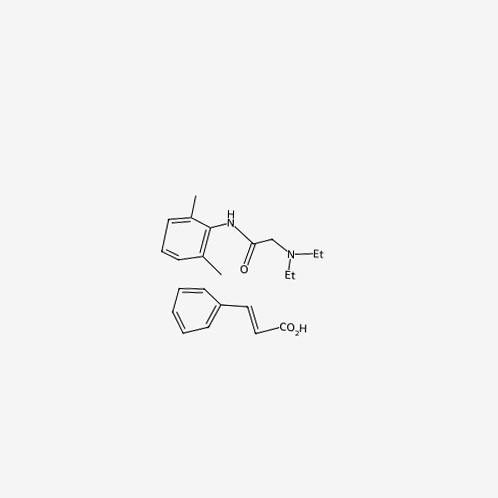 CCN(CC)CC(=O)Nc1c(C)cccc1C.O=C(O)C=Cc1ccccc1